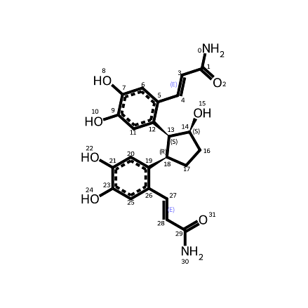 NC(=O)/C=C/c1cc(O)c(O)cc1[C@H]1[C@@H](O)CC[C@H]1c1cc(O)c(O)cc1/C=C/C(N)=O